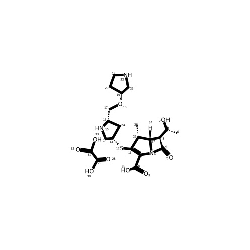 C[C@@H](O)[C@H]1C(=O)N2C(C(=O)O)=C(S[C@@H]3CN[C@H](CO[C@@H]4CCNC4)C3)[C@H](C)[C@H]12.O=C(O)C(=O)O